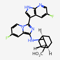 O=C(O)[C@@H]1C(Nc2nc(-c3c[nH]c4ncc(F)cc34)n3ccc(F)cc23)[C@H]2CC[C@@H]1CC2